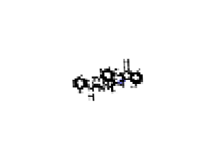 Cc1c(/C=C2\C(=O)Nc3ccccc32)c2ccccc2n1CC(=O)NC1CCCCC1